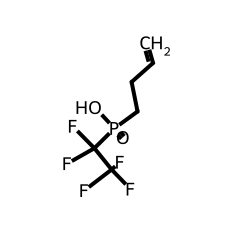 C=CCCP(=O)(O)C(F)(F)C(F)(F)F